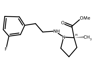 COC(=O)[C@@]1(C)CCCN1NCCc1cccc(F)c1